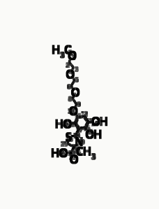 COCCOCCOCCOc1cc(O)c(O)c(C2=N[C@@](C)(C(=O)O)CS2)c1O